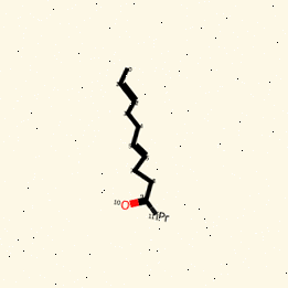 CC=CCCC=CCCC(=O)C(C)C